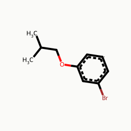 CC(C)COc1c[c]cc(Br)c1